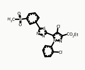 CCOC(=O)c1nn(-c2ccccc2Cl)c(-c2nnc(-c3cccc(S(C)(=O)=O)c3)s2)c1Cl